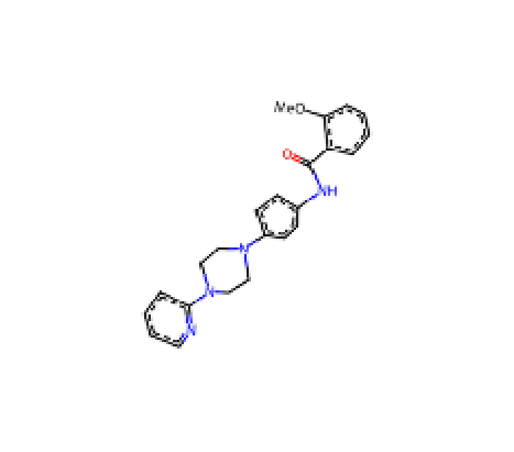 COc1ccccc1C(=O)Nc1ccc(N2CCN(c3ccccn3)CC2)cc1